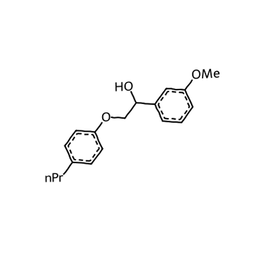 CCCc1ccc(OCC(O)c2cccc(OC)c2)cc1